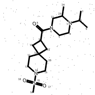 CC(C)N1CCN(C(=O)C2CC3(CCN(S(C)(=O)=O)CC3)C2)CC1C